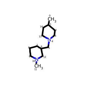 CC1CCN(CC2CCCN(C)C2)CC1